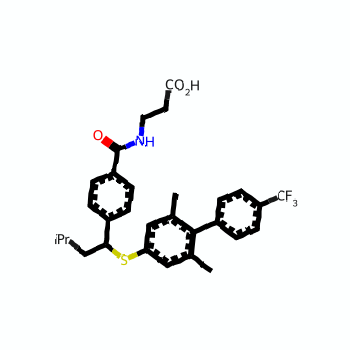 Cc1cc(SC(CC(C)C)c2ccc(C(=O)NCCC(=O)O)cc2)cc(C)c1-c1ccc(C(F)(F)F)cc1